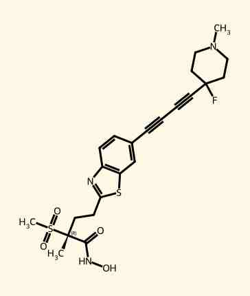 CN1CCC(F)(C#CC#Cc2ccc3nc(CC[C@](C)(C(=O)NO)S(C)(=O)=O)sc3c2)CC1